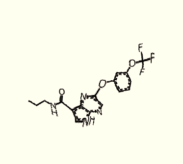 CCCNC(=O)c1c[nH]c2ncc(Oc3cccc(OC(F)(F)F)c3)nc12